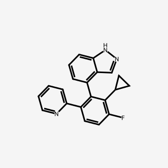 Fc1ccc(-c2ccccn2)c(-c2cccc3[nH]ncc23)c1C1CC1